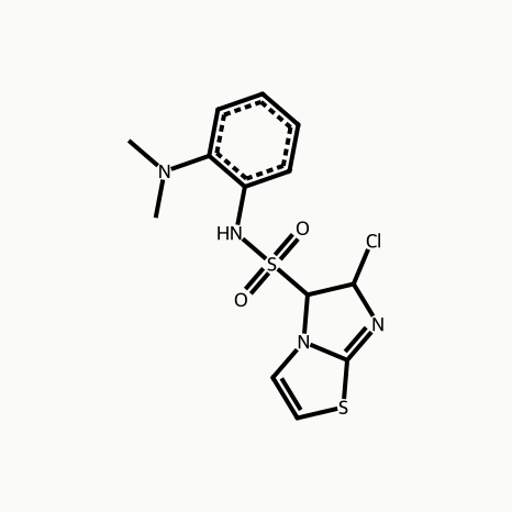 CN(C)c1ccccc1NS(=O)(=O)C1C(Cl)N=C2SC=CN21